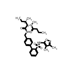 CCCC(=O)N(C)[C@H](C(=O)NCc1ccc(-c2ccccc2S(=O)(=O)Nc2onc(C)c2C)cc1)[C@@H](C)CC